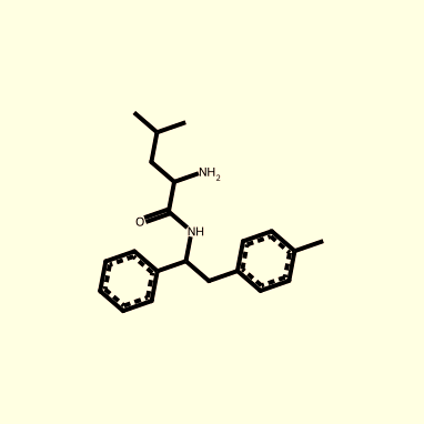 Cc1ccc(CC(NC(=O)C(N)CC(C)C)c2ccccc2)cc1